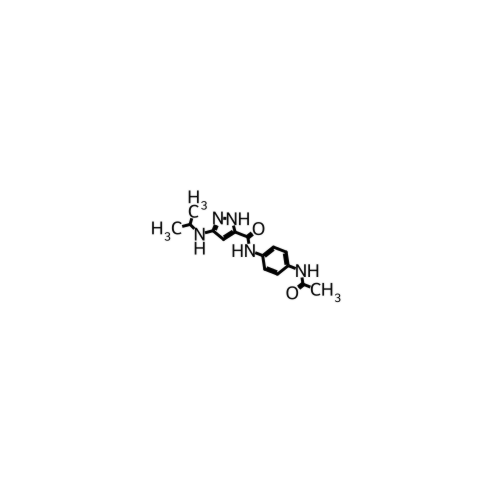 CC(=O)Nc1ccc(NC(=O)c2cc(NC(C)C)n[nH]2)cc1